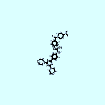 CN(C)C1CCN(C(=O)c2ccc3nc(Nc4ccc(-c5nc(N6CCOCC6)nc(N6CCOCC6)n5)cc4)[nH]c3c2)CC1